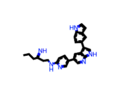 CCCC(=N)CCNc1ccc(-c2cnc3[nH]cc(-c4ccc5[nH]ccc5c4)c3c2)cn1